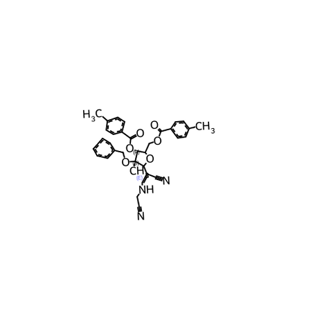 Cc1ccc(C(=O)OCC2OC(/C(C#N)=C/NCC#N)[C@](C)(OCc3ccccc3)[C@@H]2OC(=O)c2ccc(C)cc2)cc1